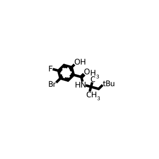 CC(C)(C)CC(C)(C)NC(=O)c1cc(Br)c(F)cc1O